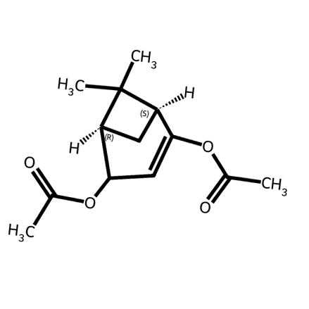 CC(=O)OC1=CC(OC(C)=O)[C@@H]2C[C@H]1C2(C)C